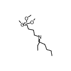 CCCC/C(CC)=N/CCC[Si](OC)(OC)OC